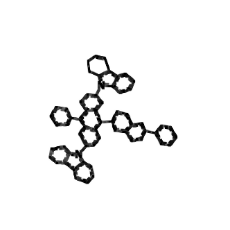 C1=Cc2c(n(-c3ccc4c(-c5ccccc5)c5cc(-n6c7ccccc7c7ccccc76)ccc5c(-c5ccc6cc(-c7ccccc7)ccc6c5)c4c3)c3ccccc23)CC1